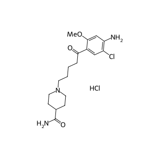 COc1cc(N)c(Cl)cc1C(=O)CCCCN1CCC(C(N)=O)CC1.Cl